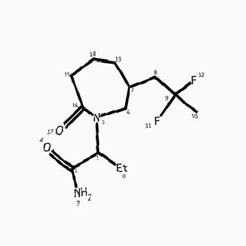 CCC(C(N)=O)N1CC(CC(C)(F)F)CCCC1=O